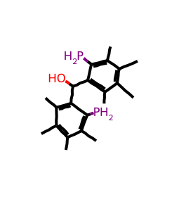 Cc1c(C)c(C)c(C(O)c2c(C)c(C)c(C)c(C)c2P)c(P)c1C